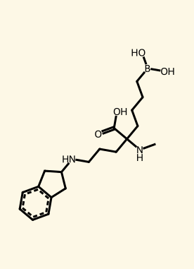 CNC(CCCCB(O)O)(CCCNC1Cc2ccccc2C1)C(=O)O